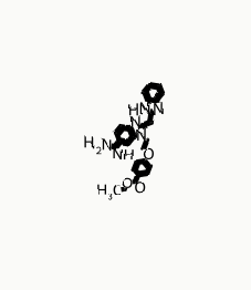 CCOC(=O)c1ccc(OCCn2c(Cc3nc4ccccc4[nH]3)nc3ccc(C(=N)N)cc32)cc1